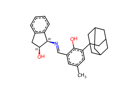 Cc1cc(C=N[C@@H]2c3ccccc3C[C@@H]2O)c(O)c(C23CC4CC(CC(C4)C2)C3)c1